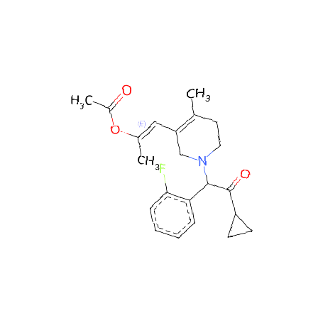 CC(=O)O/C(C)=C/C1=C(C)CCN(C(C(=O)C2CC2)c2ccccc2F)C1